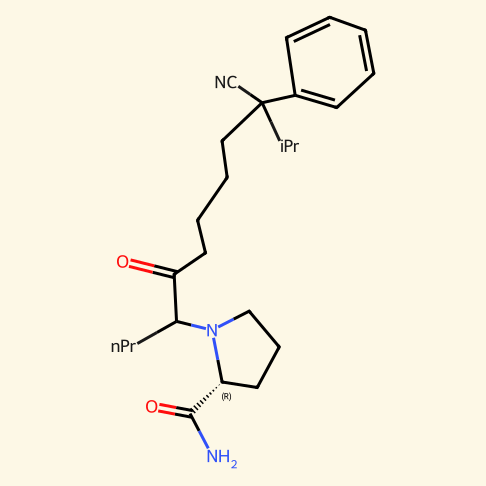 CCCC(C(=O)CCCCC(C#N)(c1ccccc1)C(C)C)N1CCC[C@@H]1C(N)=O